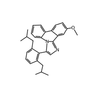 COc1ccc2c3ccccc3n3c(-c4c(CC(C)C)cccc4CC(C)C)cnc3c2c1